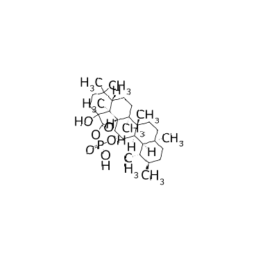 C[C@@H]1[C@H]2[C@H]3CC[C@@H]4[C@]5(C)[C@@H](CC[C@@]4(C)[C@]3(C)CC[C@@]2(C)CC[C@H]1C)C(C)(C)CCC5(O)C(=O)OP(=O)(O)O